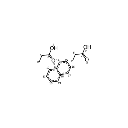 CCC(=O)O.CCC(=O)O.c1ccc2ccccc2c1